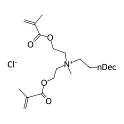 C=C(C)C(=O)OCC[N+](C)(CCCCCCCCCCCC)CCOC(=O)C(=C)C.[Cl-]